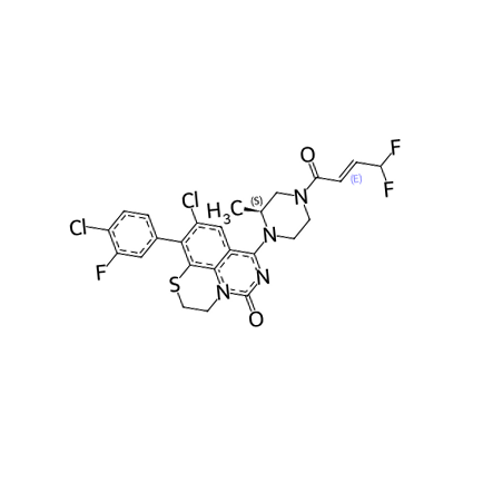 C[C@H]1CN(C(=O)/C=C/C(F)F)CCN1c1nc(=O)n2c3c(c(-c4ccc(Cl)c(F)c4)c(Cl)cc13)SCC2